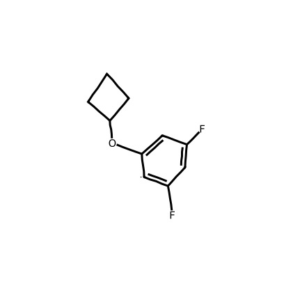 Fc1[c]c(OC2CCC2)cc(F)c1